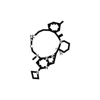 C=C1c2cc(C)ccc2CCCNCCN(C)c2cc(N3CCC3)nc3cc(nn23)[C@@H]2CCCCN12